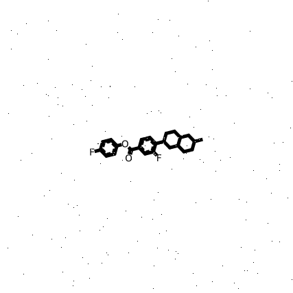 CC1CCC2CC(c3ccc(C(=O)Oc4ccc(F)cc4)cc3F)CCC2C1